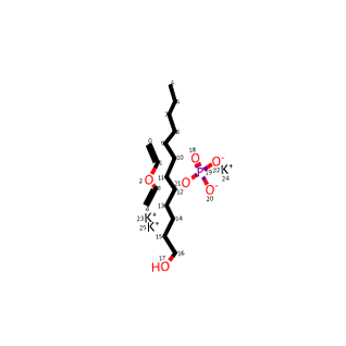 C=COC=C.CCCCCCCCCCCCO.O=P([O-])([O-])[O-].[K+].[K+].[K+]